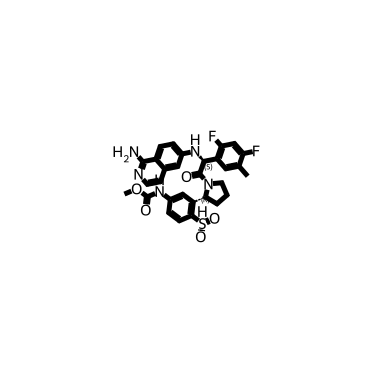 COC(=O)Nc1ccc([SH](=O)=O)c([C@H]2CCCN2C(=O)[C@@H](Nc2ccc3c(N)nccc3c2)c2cc(C)c(F)cc2F)c1